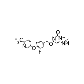 CC1(C)Cn2c(cc(OCc3ccc(Oc4ccc(C(F)(F)F)nc4)c(F)c3)nc2=O)N1